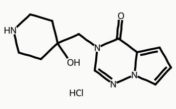 Cl.O=c1c2cccn2ncn1CC1(O)CCNCC1